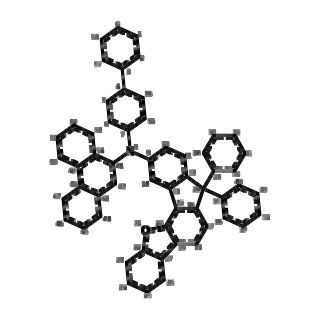 c1ccc(-c2ccc(N(c3ccc4c(c3)-c3c(ccc5c3oc3ccccc35)C4(c3ccccc3)c3ccccc3)c3cc4ccccc4c4ccccc34)cc2)cc1